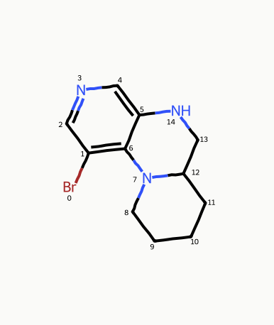 Brc1cncc2c1N1CCCCC1CN2